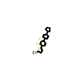 CCc1ccc(-c2ccc(-c3ccc(C4CCCC4)cc3)c(F)c2F)s1